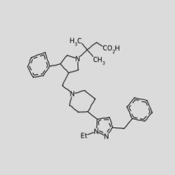 CCn1nc(Cc2ccccc2)cc1C1CCN(CC2CN(C(C)(C)CC(=O)O)CC2c2ccccc2)CC1